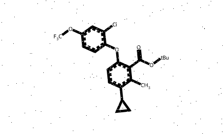 Cc1c(C2CC2)ccc(Oc2ccc(OC(F)(F)F)cc2Cl)c1C(=O)OC(C)(C)C